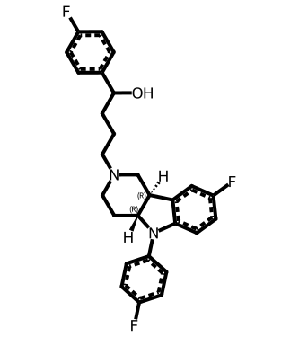 OC(CCCN1CC[C@@H]2[C@@H](C1)c1cc(F)ccc1N2c1ccc(F)cc1)c1ccc(F)cc1